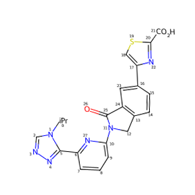 CC(C)n1cnnc1-c1cccc(N2Cc3ccc(-c4csc(C(=O)O)n4)cc3C2=O)n1